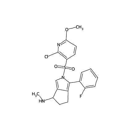 CNC1CCc2c1cn(S(=O)(=O)c1ccc(OC)nc1Cl)c2-c1ccccc1F